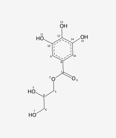 O=C(OCC(O)CO)c1cc(O)c(O)c(O)c1